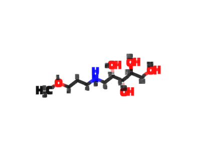 COCCCNC[C@H](O)[C@@H](O)[C@@H](O)CO